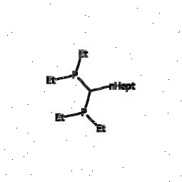 CCCCCCCC(P(CC)CC)P(CC)CC